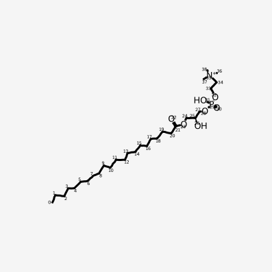 CCCCCCCCCCCCCCCCCCCCCC(=O)OC[C@H](O)COP(=O)(O)OCC[N+](C)(C)C